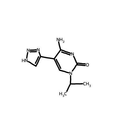 CC(C)n1cc(-c2c[nH]nn2)c(N)nc1=O